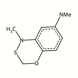 CNc1ccc2c(c1)N(C)SCO2